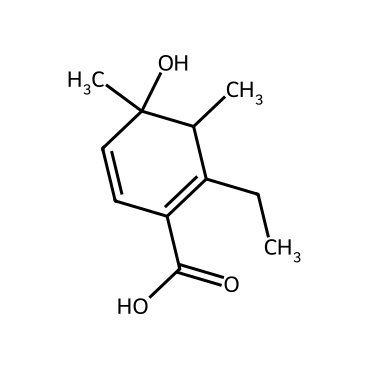 CCC1=C(C(=O)O)C=CC(C)(O)C1C